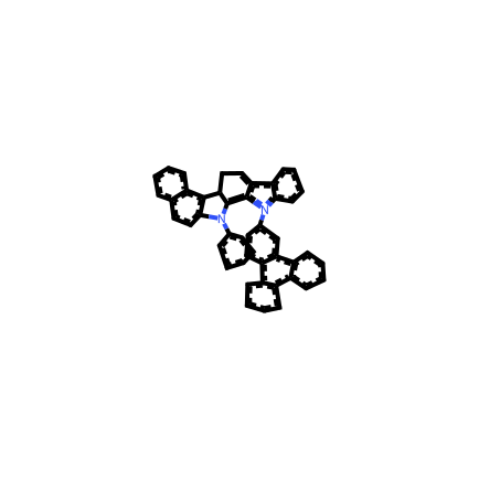 C1=c2c(n(-c3ccc4c5ccccc5c5ccccc5c4c3)c3ccccc23)=C2C(C1)c1c(ccc3ccccc13)N2c1ccccc1